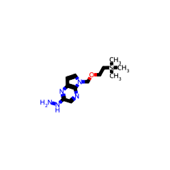 C[Si](C)(C)CCOCn1ccc2nc(NN)cnc21